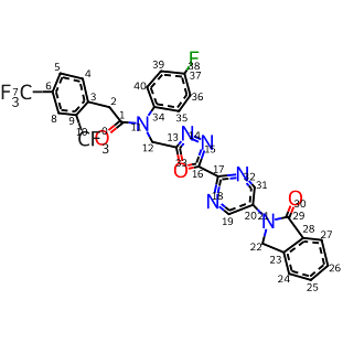 O=C(Cc1ccc(C(F)(F)F)cc1C(F)(F)F)N(Cc1nnc(-c2ncc(N3Cc4ccccc4C3=O)cn2)o1)c1ccc(F)cc1